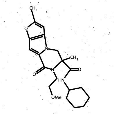 COCCN1C(=O)c2cc3oc(C)cc3n2CC1(C)C(=O)NC1CCCCC1